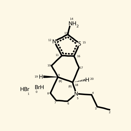 Br.Br.CCCN1CCC[C@@H]2Cc3nc(N)sc3C[C@H]21